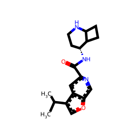 CC(C)c1coc2cnc(C(=O)N[C@@H]3CCNC4CCC43)cc12